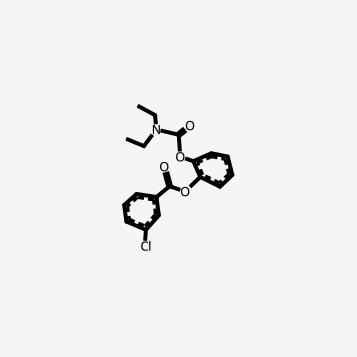 CCN(CC)C(=O)Oc1ccccc1OC(=O)c1cccc(Cl)c1